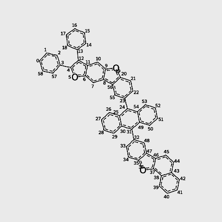 c1ccc(-c2oc3cc4c(cc3c2-c2ccccc2)oc2ccc(-c3c5ccccc5c(-c5ccc6oc7c8ccccc8ccc7c6c5)c5ccccc35)cc24)cc1